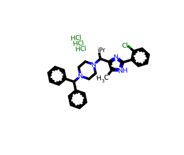 Cc1[nH]c(-c2ccccc2Cl)nc1C(C(C)C)N1CCN(C(c2ccccc2)c2ccccc2)CC1.Cl.Cl.Cl